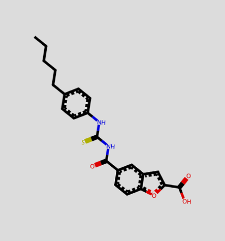 CCCCCc1ccc(NC(=S)NC(=O)c2ccc3oc(C(=O)O)cc3c2)cc1